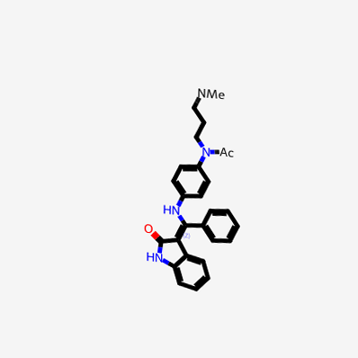 CNCCCN(C(C)=O)c1ccc(N/C(=C2\C(=O)Nc3ccccc32)c2ccccc2)cc1